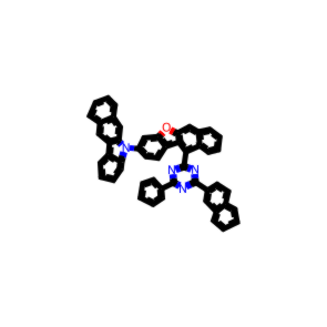 c1ccc(-c2nc(-c3ccc4ccccc4c3)nc(-c3c4ccccc4cc4oc5cc(-n6c7ccccc7c7cc8ccccc8cc76)ccc5c34)n2)cc1